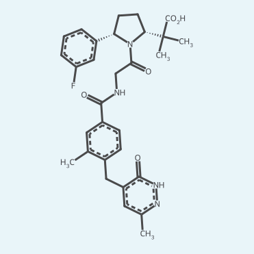 Cc1cc(Cc2ccc(C(=O)NCC(=O)N3[C@H](c4cccc(F)c4)CC[C@@H]3C(C)(C)C(=O)O)cc2C)c(=O)[nH]n1